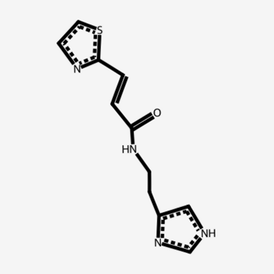 O=C(C=Cc1nccs1)NCCc1c[nH]cn1